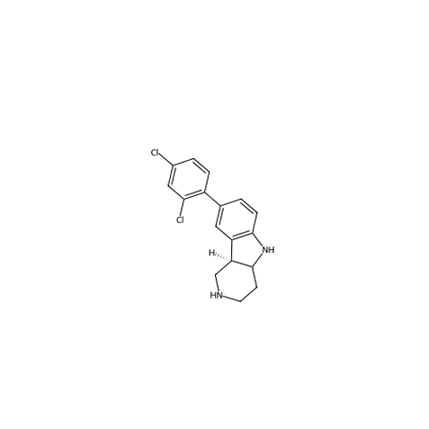 Clc1ccc(-c2ccc3c(c2)[C@@H]2CNCCC2N3)c(Cl)c1